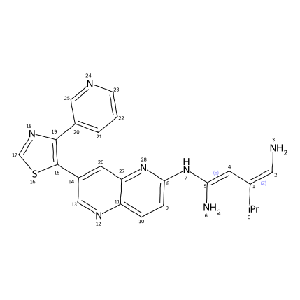 CC(C)C(=C/N)/C=C(\N)Nc1ccc2ncc(-c3scnc3-c3cccnc3)cc2n1